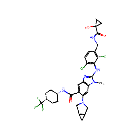 Cn1c(Nc2c(Cl)ccc(CNC(=O)C3(O)CC3)c2Cl)nc2cc(C(=O)N[C@H]3CC[C@H](C(F)(F)F)CC3)c(N3CC4CC4C3)cc21